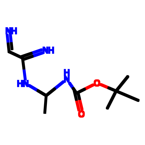 CC(NC(=N)C=N)NC(=O)OC(C)(C)C